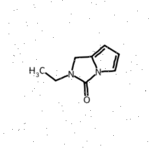 CCN1Cc2cccn2C1=O